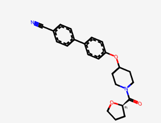 N#Cc1ccc(-c2ccc(OC3CCN(C(=O)[C@H]4CCCO4)CC3)cc2)cc1